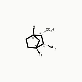 N[C@@H]1[C@@H]2CC[C@@H](C2)[C@@H]1C(=O)O